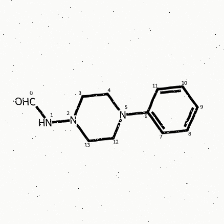 O=[C]NN1CCN(c2ccccc2)CC1